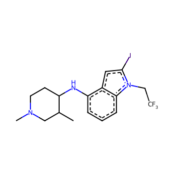 CC1CN(C)CCC1Nc1cccc2c1cc(I)n2CC(F)(F)F